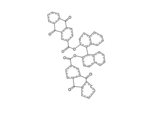 O=C(Oc1ccc2ccccc2c1-c1c(OC(=O)c2ccc3c(c2)C(=O)c2ccccc2C3=O)ccc2ccccc12)c1ccc2c(c1)C(=O)c1ccccc1C2=O